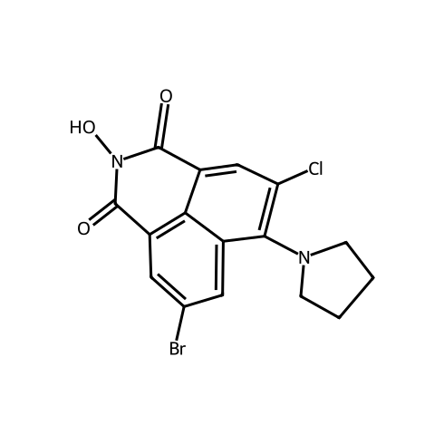 O=C1c2cc(Br)cc3c(N4CCCC4)c(Cl)cc(c23)C(=O)N1O